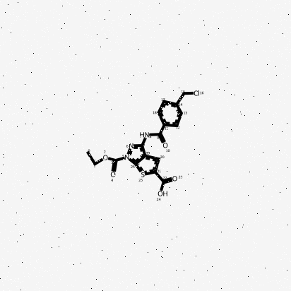 CCOC(=O)n1nc(NC(=O)c2ccc(CCl)cc2)c2cc(C(=O)O)sc21